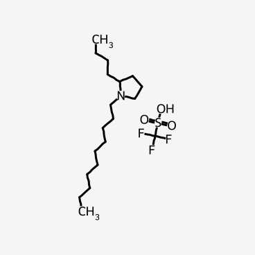 CCCCCCCCCCN1CCCC1CCCC.O=S(=O)(O)C(F)(F)F